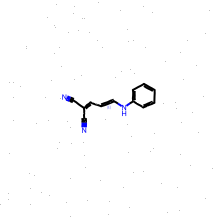 N#CC(C#N)=C/C=C/Nc1ccccc1